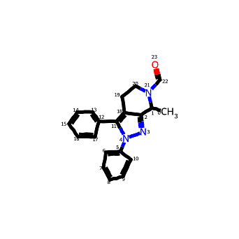 CC1c2nn(-c3ccccc3)c(-c3ccccc3)c2CCN1C=O